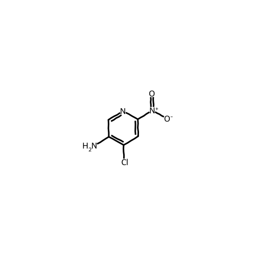 Nc1cnc([N+](=O)[O-])cc1Cl